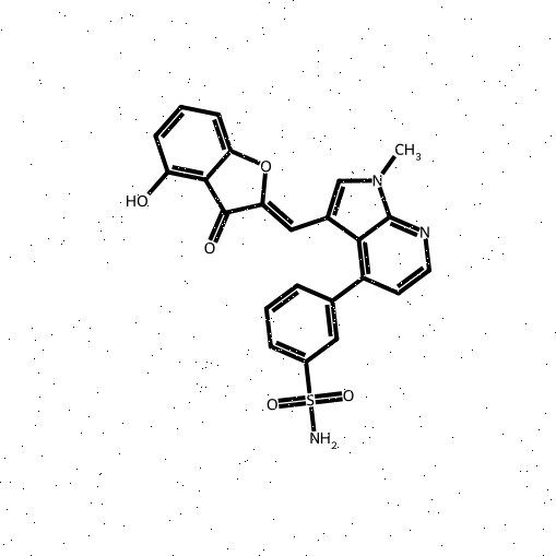 Cn1cc(/C=C2\Oc3cccc(O)c3C2=O)c2c(-c3cccc(S(N)(=O)=O)c3)ccnc21